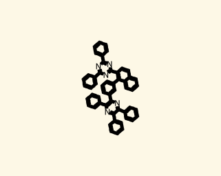 c1ccc(-c2nc(-c3ccccc3)nc(-c3ccc4ccccc4c3-c3cccc(-c4nc(-c5ccccc5)c(-c5ccccc5)nc4-c4ccccc4)c3)n2)cc1